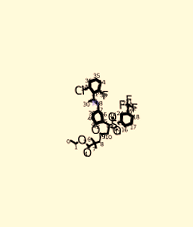 CCOC(=O)C(C)(C)C[C@@H]1C[C@H](S(=O)(=O)c2cccc(C(F)(F)F)c2)c2cc(/C=C(\C)c3c(F)cccc3Cl)ccc2O1